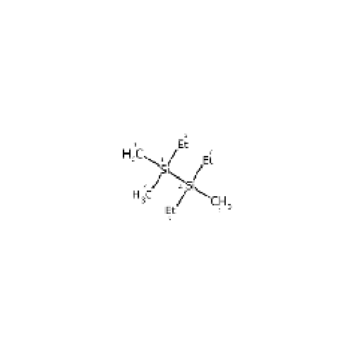 CC[Si](C)(C)[Si](C)(CC)CC